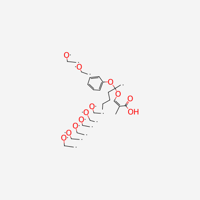 [CH2]C(CCCC)(OC=C(C)C(=O)O)Oc1ccccc1.[CH2]C[O].[CH2]C[O].[CH2]C[O].[CH2]C[O].[CH2]C[O].[CH2]C[O].[CH2]C[O].[CH2]C[O]